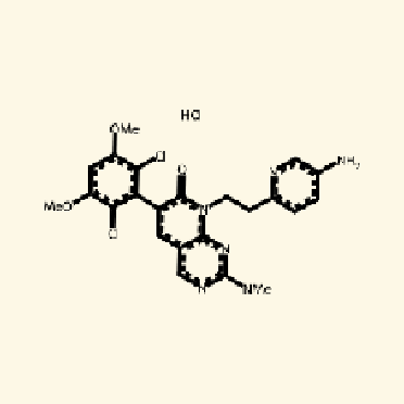 CNc1ncc2cc(-c3c(Cl)c(OC)cc(OC)c3Cl)c(=O)n(CCc3ccc(N)cn3)c2n1.Cl